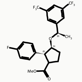 COC(=O)C1CC[C@H](O[C@H](C)c2cc(C(F)(F)F)cc(C(F)(F)F)c2)[C@H]1c1ccc(F)cc1